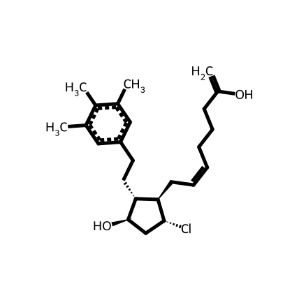 C=C(O)CCC/C=C\C[C@@H]1[C@@H](CCc2cc(C)c(C)c(C)c2)[C@H](O)C[C@H]1Cl